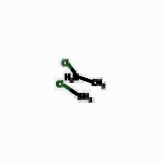 C[SiH2]Cl.[SiH3]Cl